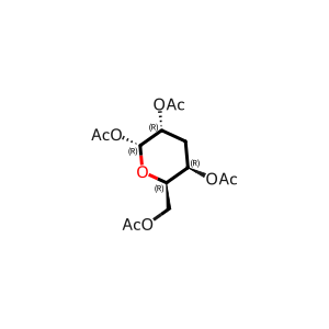 CC(=O)OC[C@H]1O[C@H](OC(C)=O)[C@H](OC(C)=O)C[C@H]1OC(C)=O